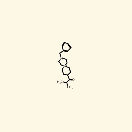 CC(C)C(=O)C1CC[N+]2(CC1)CCN(Cc1ccccc1)CC2